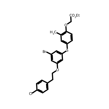 CCOC(=O)COc1ccc(Sc2cc(Br)cc(OCCc3ccc(Cl)cc3)c2)cc1C